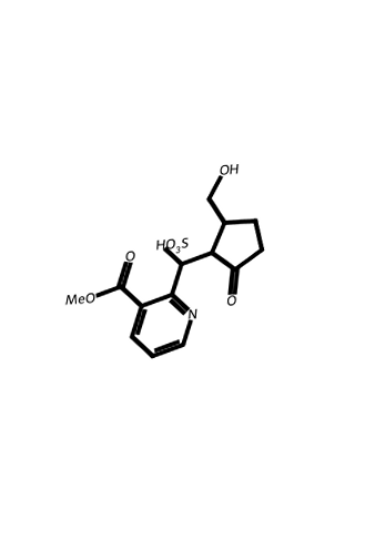 COC(=O)c1cccnc1C(C1C(=O)CCC1CO)S(=O)(=O)O